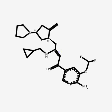 C=C1C[C@H](N2CCCC2)C[C@@H]1C/C(=C/C(=N)c1cnc(N)c(OC(F)F)c1)NCC1CC1